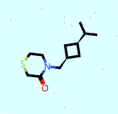 CC(C)[C@H]1C[C@@H](CN2CCSCC2=O)C1